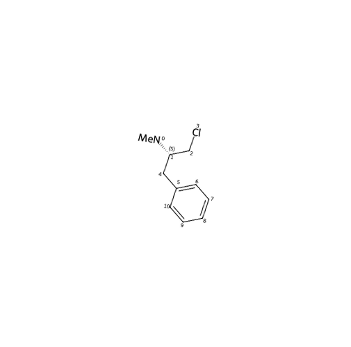 CN[C@H](CCl)Cc1ccccc1